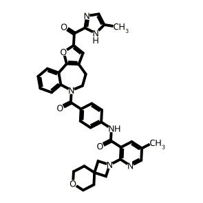 Cc1cnc(N2CC3(CCOCC3)C2)c(C(=O)Nc2ccc(C(=O)N3CCc4cc(C(=O)c5ncc(C)[nH]5)oc4-c4ccccc43)cc2)c1